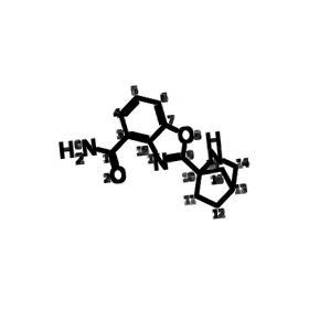 NC(=O)c1cccc2oc(C34CCC(CN3)C4)nc12